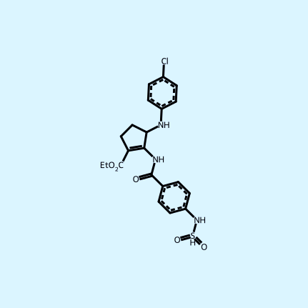 CCOC(=O)C1=C(NC(=O)c2ccc(N[SH](=O)=O)cc2)C(Nc2ccc(Cl)cc2)CC1